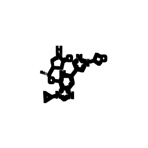 C[C@@H](Oc1nc(-c2cnn(C3COC3)c2)cc2ncn(C3CC3)c12)[C@H]1CNC(=O)C1